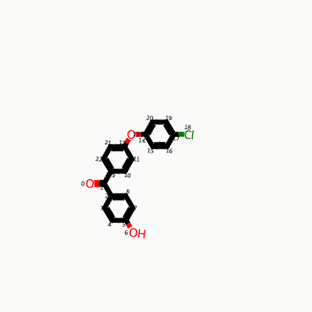 O=C(c1ccc(O)cc1)c1ccc(Oc2ccc(Cl)cc2)cc1